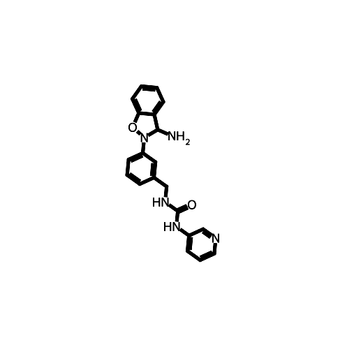 NC1c2ccccc2ON1c1cccc(CNC(=O)Nc2cccnc2)c1